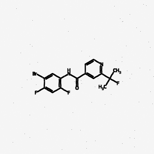 CC(C)(F)c1cc(C(=O)Nc2cc(Br)c(F)cc2F)ccn1